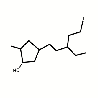 CCC(CCI)CCC1CC(C)[C@@H](O)C1